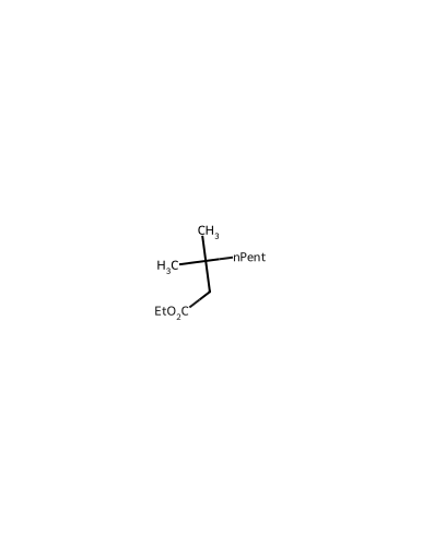 CCCCCC(C)(C)CC(=O)OCC